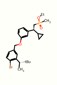 CCOP(C)(=O)C[C@H](c1cccc(OCc2ccc(Br)c([C@@H](C)C(C)(C)C)c2)c1)C1CC1